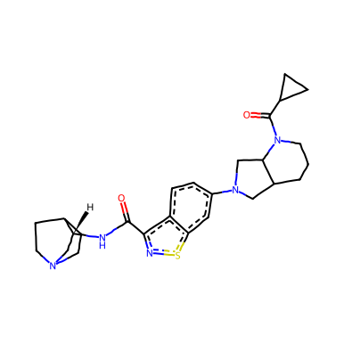 O=C(N[C@@H]1CN2CCC1CC2)c1nsc2cc(N3CC4CCCN(C(=O)C5CC5)C4C3)ccc12